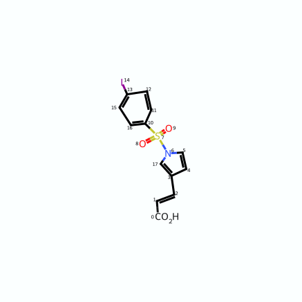 O=C(O)C=Cc1ccn(S(=O)(=O)c2ccc(I)cc2)c1